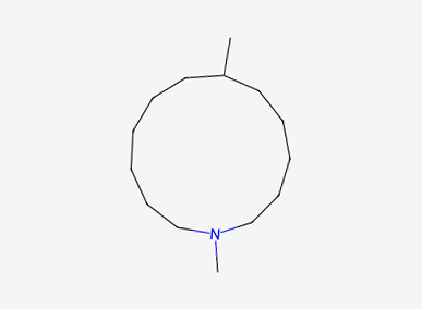 CC1CCCCCCN(C)CCCCC1